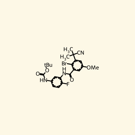 COc1cc(C(=O)Nc2cc(NC(=O)OC(C)(C)C)ccc2F)c(Br)c(C(C)(C)C#N)c1